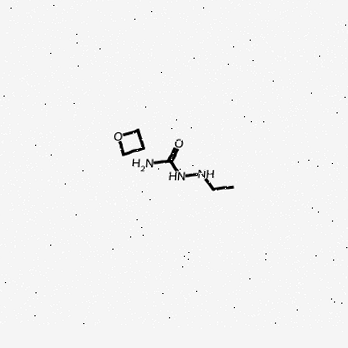 C1COC1.CCNNC(N)=O